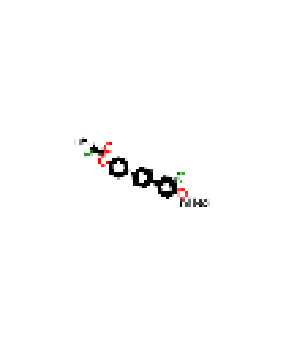 CCCCCCOc1ccc(-c2ccc([C@H]3CC[C@H](OC(=O)[C@@H](F)CCCC)CC3)cc2)cc1Cl